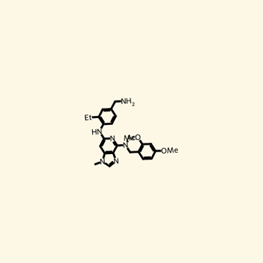 CCc1cc(CN)ccc1Nc1cc2c(ncn2C)c(N(Cc2ccc(OC)cc2OC)C(C)=O)n1